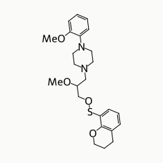 COc1ccccc1N1CCN(CC(COSc2cccc3c2OCCC3)OC)CC1